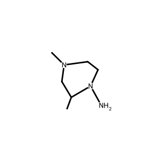 CC1CN(C)CCN1N